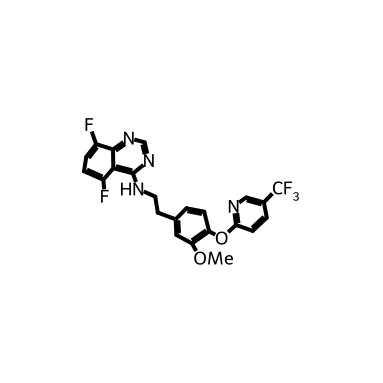 COc1cc(CCNc2ncnc3c(F)ccc(F)c23)ccc1Oc1ccc(C(F)(F)F)cn1